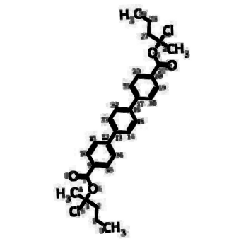 CCC[C@](C)(Cl)OC(=O)c1ccc(-c2ccc(-c3ccc(C(=O)O[C@@](C)(Cl)CCC)cc3)cc2)cc1